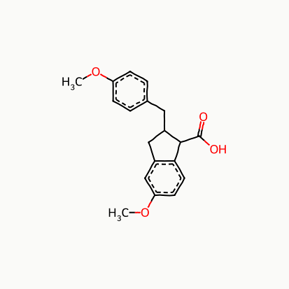 COc1ccc(CC2Cc3cc(OC)ccc3C2C(=O)O)cc1